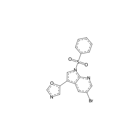 O=S(=O)(c1ccccc1)n1cc(-c2cnco2)c2cc(Br)cnc21